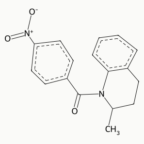 CC1CCc2ccccc2N1C(=O)c1ccc([N+](=O)[O-])cc1